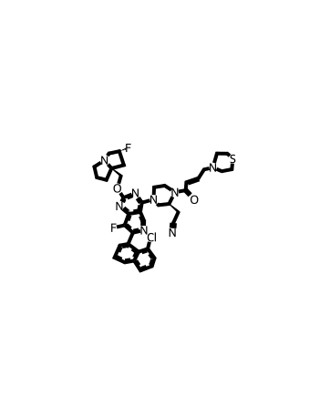 N#CC[C@H]1CN(c2nc(OC[C@@]34CCCN3C[C@H](F)C4)nc3c(F)c(-c4cccc5cccc(Cl)c45)ncc23)CCN1C(=O)/C=C/CN1CCSCC1